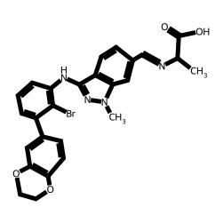 CC(N=Cc1ccc2c(Nc3cccc(-c4ccc5c(c4)OCCO5)c3Br)nn(C)c2c1)C(=O)O